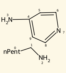 CCCCCCN.Nc1ccncc1